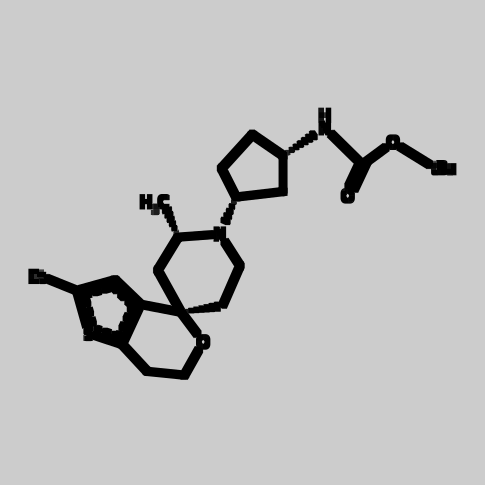 CCc1cc2c(s1)CCO[C@@]21CCN([C@@H]2CC[C@H](NC(=O)OC(C)(C)C)C2)[C@@H](C)C1